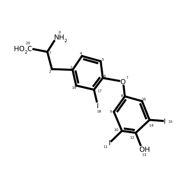 NC(Cc1ccc(Oc2cc(I)c(O)c(I)c2)c(I)c1)C(=O)O